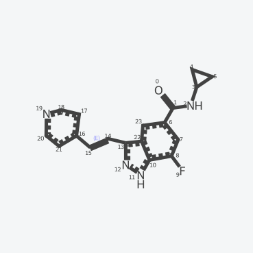 O=C(NC1CC1)c1cc(F)c2[nH]nc(/C=C/c3ccncc3)c2c1